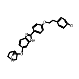 Clc1ccc(CCOc2ccc(-c3nc4ccc(OC5CN6CCC5CC6)cc4[nH]3)cc2)cc1